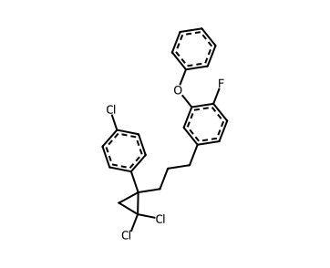 Fc1ccc(CCCC2(c3ccc(Cl)cc3)CC2(Cl)Cl)cc1Oc1ccccc1